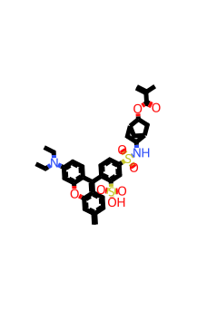 C=C(C)C(=O)OC1CC2CC1CC2NS(=O)(=O)c1ccc(C2=c3ccc(=C)cc3Oc3cc(N(CC)CC)ccc32)c(S(=O)(=O)O)c1